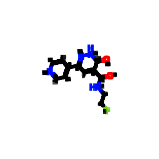 O=C(NCCF)c1cc(-c2ccncc2)n[nH]c1=O